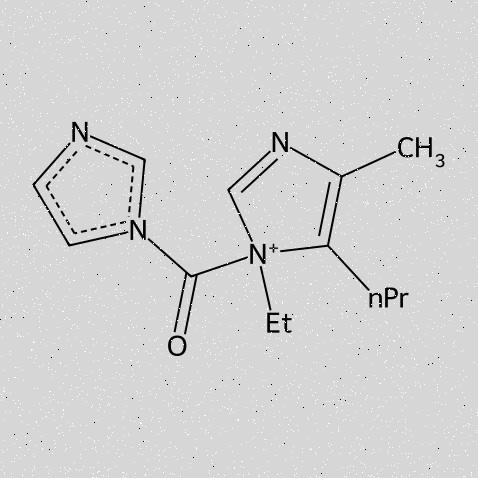 CCCC1=C(C)N=C[N+]1(CC)C(=O)n1ccnc1